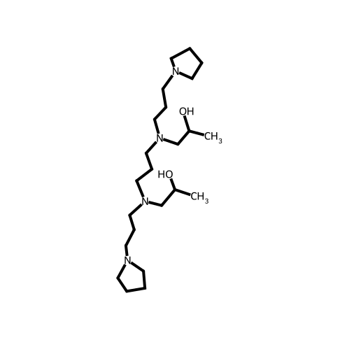 CC(O)CN(CCCN1CCCC1)CCCN(CCCN1CCCC1)CC(C)O